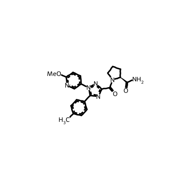 COc1ccc(-n2nc(C(=O)N3CCC[C@H]3C(N)=O)nc2-c2ccc(C)cc2)cn1